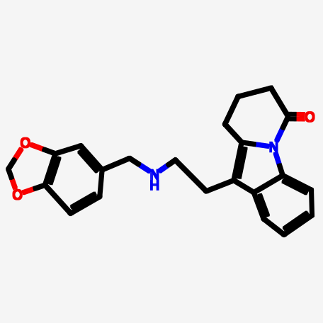 O=C1CCCc2c(CCNCc3ccc4c(c3)OCO4)c3ccccc3n21